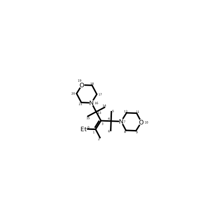 CCC(C)=C(C(C)(C)N1CCOCC1)C(C)(C)N1CCOCC1